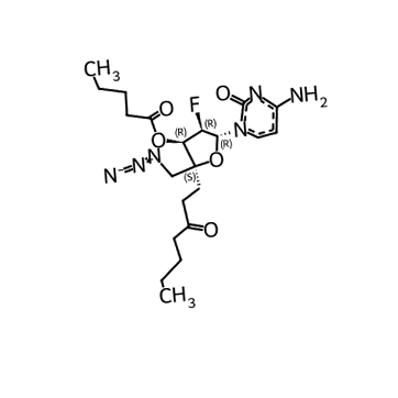 CCCCC(=O)CC[C@@]1(CN=[N+]=[N-])O[C@@H](n2ccc(N)nc2=O)[C@H](F)[C@@H]1OC(=O)CCCC